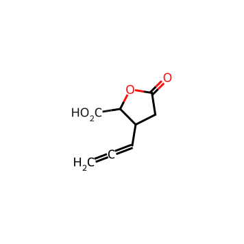 C=C=CC1CC(=O)OC1C(=O)O